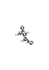 O=C(O)CN(CCN(CC(=O)O)CC(=O)N1CCOCC1)CCN(CC(=O)O)CC(=O)N1CCOCC1